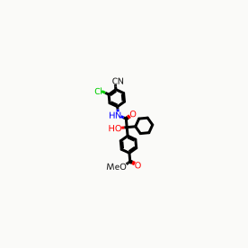 COC(=O)c1ccc(C(O)(C(=O)Nc2ccc(C#N)c(Cl)c2)C2CCCCC2)cc1